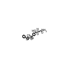 NC(=O)CCNC(=O)[C@H](O)c1ccc(-c2noc(-c3cnn(-c4ccccc4)c3C(F)(F)F)n2)cc1